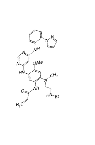 C=CC(=O)Nc1cc(Nc2cc(Nc3ccccc3-n3cccn3)ncn2)c(OC)cc1N(C)CCNCC